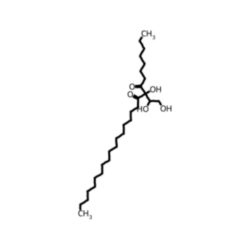 CCCCCCCCCCCCCCCCCC(=O)C(O)(C(=O)CCCCCCC)C(O)CO